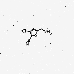 N#Cc1sc(CN)cc1Cl